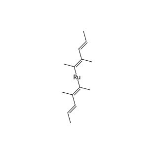 C/C=C/C(C)=[C](\C)[Ru]/[C](C)=C(C)/C=C/C